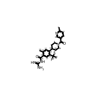 Cc1ccc(C(=O)N2CCC(c3cc(C)c(C(=O)NC(=N)N)cc3C(F)(F)F)CC2)cn1